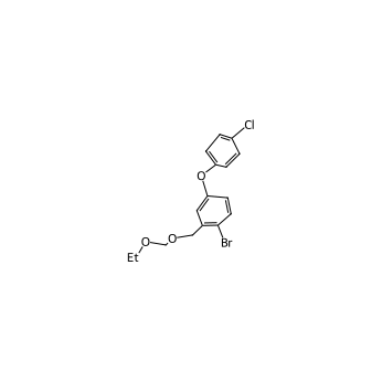 CCOCOCc1cc(Oc2ccc(Cl)cc2)ccc1Br